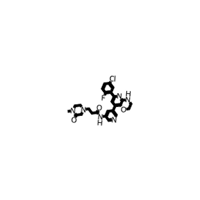 CN1CCN(CCC(=O)Nc2cncc(-c3cc(-c4cc(Cl)ccc4F)nc4c3OCCN4)c2)CC1=O